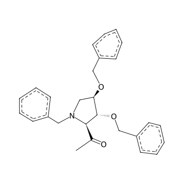 CC(=O)[C@@H]1[C@@H](OCc2ccccc2)[C@H](OCc2ccccc2)CN1Cc1ccccc1